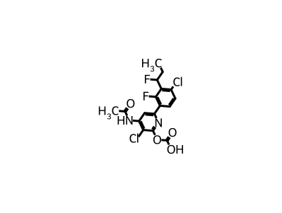 CCC(F)c1c(Cl)ccc(-c2cc(NC(C)=O)c(Cl)c(OC(=O)O)n2)c1F